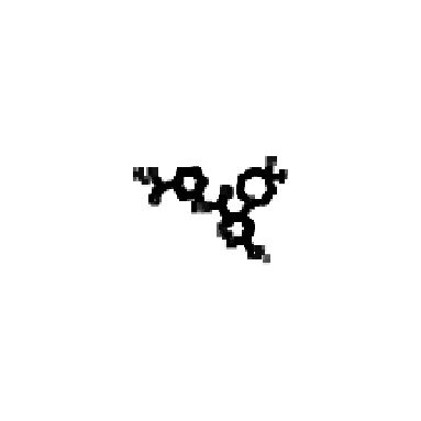 NC(=O)c1cccc(NC(=O)c2nnc(C(F)(F)F)cc2N2CCCC(F)(F)CC2)c1